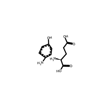 N[C@@H](CCC(=O)O)C(=O)O.Nc1ccc(O)cc1